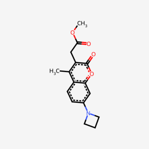 COC(=O)Cc1c(C)c2ccc(N3CCC3)cc2oc1=O